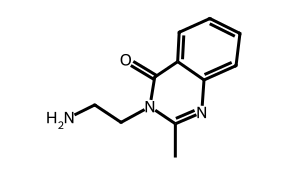 Cc1nc2ccccc2c(=O)n1CCN